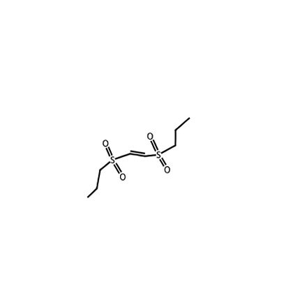 CCCS(=O)(=O)/C=C/S(=O)(=O)CCC